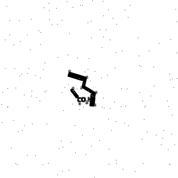 C=CCC=C.CC(=O)O